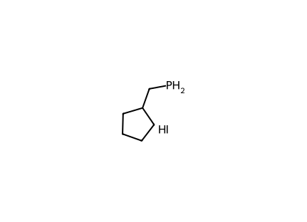 I.PCC1CCCC1